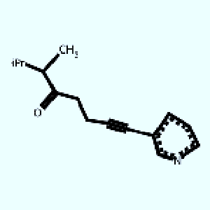 C[C](C)C(C)C(=O)CCC#Cc1cccnc1